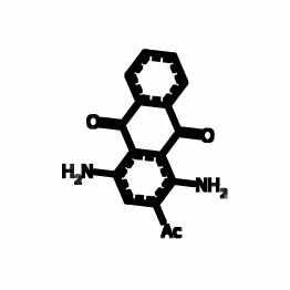 CC(=O)c1cc(N)c2c(c1N)C(=O)c1ccccc1C2=O